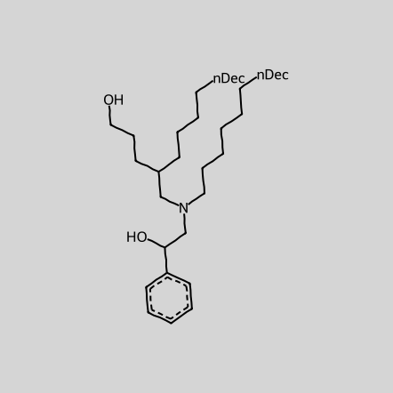 CCCCCCCCCCCCCCCCN(CC(CCCO)CCCCCCCCCCCCCC)CC(O)c1ccccc1